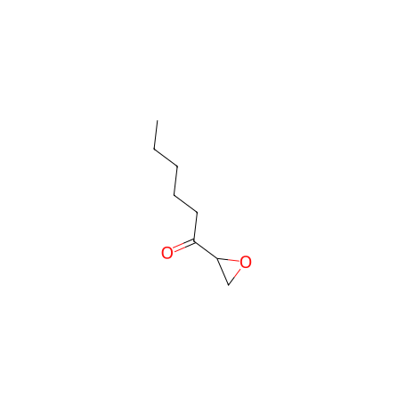 CCCCCC(=O)C1CO1